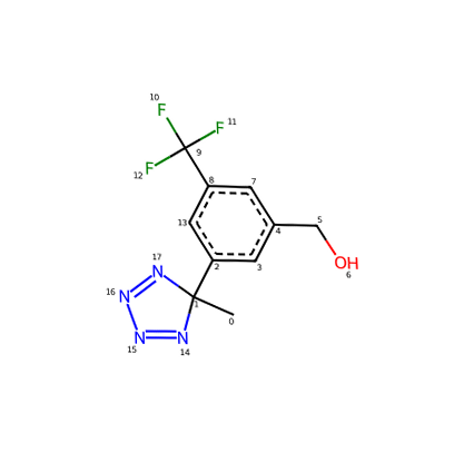 CC1(c2cc(CO)cc(C(F)(F)F)c2)N=NN=N1